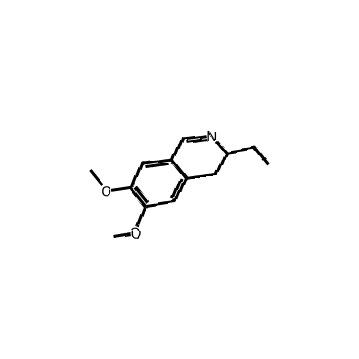 CCC1Cc2cc(OC)c(OC)cc2C=N1